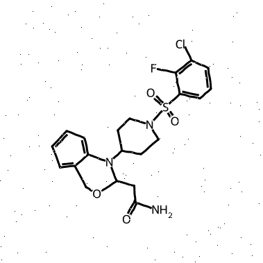 NC(=O)CC1OCc2ccccc2N1C1CCN(S(=O)(=O)c2cccc(Cl)c2F)CC1